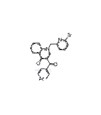 C/C=C(\C=C/C(C)=O)C(=O)c1cn(Cc2cccc(Br)n2)c2ccccc2c1=O